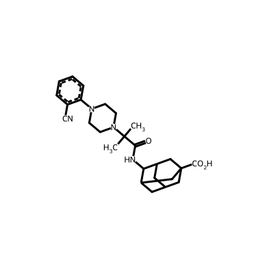 CC(C)(C(=O)NC1C2CC3CC1CC(C(=O)O)(C3)C2)N1CCN(c2ccccc2C#N)CC1